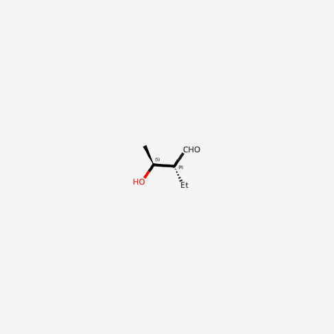 CC[C@@H](C=O)[C@H](C)O